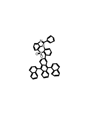 O=S1(=O)c2c(-c3ccc4c(-c5cccc6ccccc56)c5ccccc5c(-c5cccc6ccccc56)c4c3)cccc2-n2c(-c3ccccc3)nc3cccc1c32